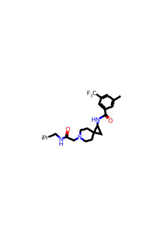 Cc1cc(C(=O)NC2CC23CCN(CC(=O)NCC(C)C)CC3)cc(C(F)(F)F)c1